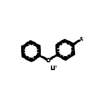 [Li+].[S-]c1ccc(Oc2ccccc2)cc1